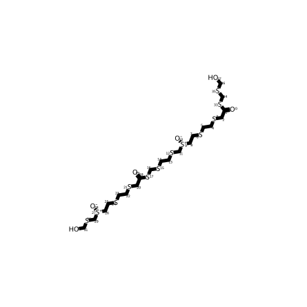 O=C(CSCCSCC[S+]([O-])CSCCSCSC(=O)CSCCSCC[S+]([O-])CSCO)SCSCO